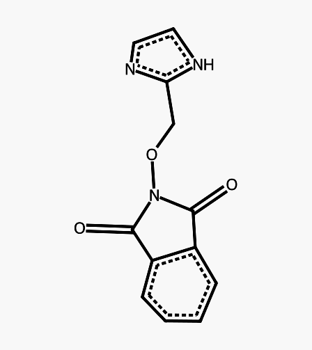 O=C1c2ccccc2C(=O)N1OCc1ncc[nH]1